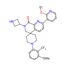 CCOc1ncccc1-c1ccc2c(n1)C(=O)N(C1CNC1)CC21CCN(c2cccc(OC)c2C(F)(F)F)CC1